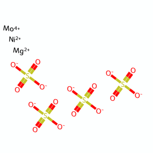 O=S(=O)([O-])[O-].O=S(=O)([O-])[O-].O=S(=O)([O-])[O-].O=S(=O)([O-])[O-].[Mg+2].[Mo+4].[Ni+2]